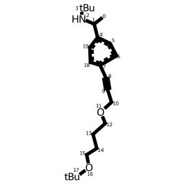 CC(NC(C)(C)C)c1ccc(C#CCOCCCCOC(C)(C)C)cc1